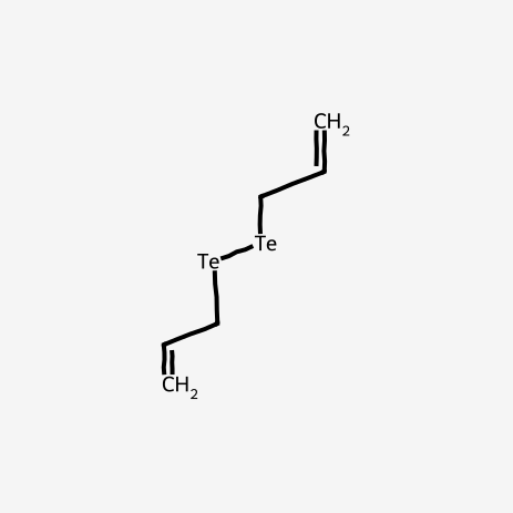 C=CC[Te][Te]CC=C